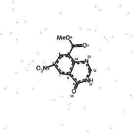 COC(=O)c1cc([N+](=O)[O-])cc2c(=O)[nH]cnc12